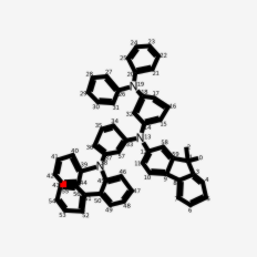 CC1(C)c2ccccc2-c2ccc(N(c3cccc(N(c4ccccc4)c4ccccc4)c3)c3cccc(N(c4ccccc4)c4ccccc4-c4ccccc4)c3)cc21